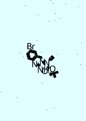 C#CN(C(=O)OC(C)(C)C)N1Cc2cc(Br)ccc2N=C1N